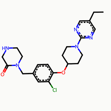 CCc1cnc(N2CCC(Oc3ccc(CN4CCNCC4=O)cc3Cl)CC2)nc1